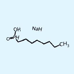 CCCCCCCC[PH](=O)O.[NaH]